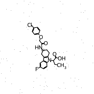 CCC(C(=O)O)n1c2c(c3cc(F)ccc31)C[C@@H](NC(=O)COc1ccc(Cl)cc1)CC2